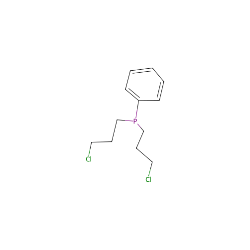 ClCCCP(CCCCl)c1ccccc1